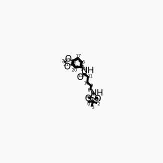 CC(C)(C)S(=O)(=O)NCCCCC(=O)Nc1ccc2c(c1)OCO2